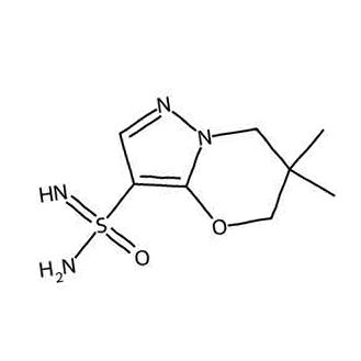 CC1(C)COc2c(S(=N)(N)=O)cnn2C1